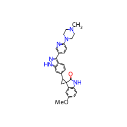 COc1ccc2c(c1)C1(CC1c1ccc3c(-c4ccc(N5CCN(C)CC5)nc4)n[nH]c3c1)C(=O)N2